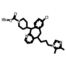 Cc1ncn(CCCC2Cc3cc(Cl)ccc3C(C3CCN(C(=O)OC(C)(C)C)CC3)c3ncccc32)c1C